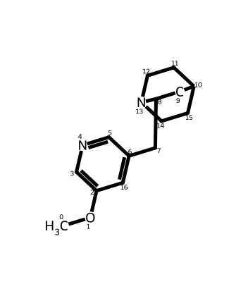 COc1cncc(CC2CC3CCN2CC3)c1